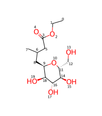 CCOC(=O)CC(C)C[C@H]1O[C@H](CO)[C@@H](O)[C@H](O)[C@H]1O